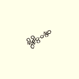 c1ccc2oc(-c3ccc(-c4cc5c6ccccc6n(-c6nc7ccccc7c7nc8ccccc8n67)c5c5ccccc45)cc3)nc2c1